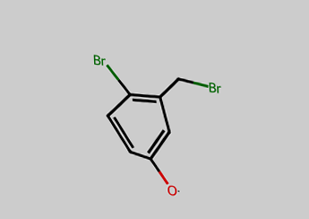 [O]c1ccc(Br)c(CBr)c1